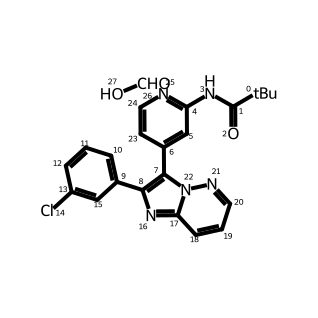 CC(C)(C)C(=O)Nc1cc(-c2c(-c3cccc(Cl)c3)nc3cccnn23)ccn1.O=CO